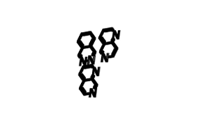 c1ccc2cnncc2c1.c1cnc2ccncc2c1.c1cnc2cnccc2c1